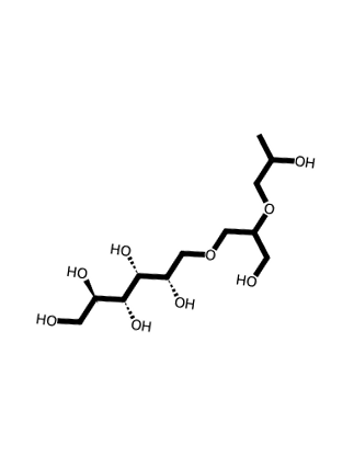 CC(O)COC(CO)COC[C@H](O)[C@@H](O)[C@H](O)[C@H](O)CO